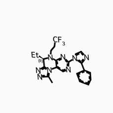 CC[C@@H]1c2nnc(C)n2-c2cnc(-n3ccnc3-c3ccccc3)nc2N1CCC(F)(F)F